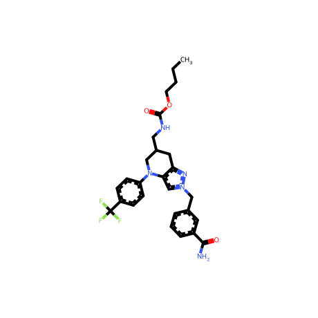 CCCCOC(=O)NCC1Cc2nn(Cc3cccc(C(N)=O)c3)cc2N(c2ccc(C(F)(F)F)cc2)C1